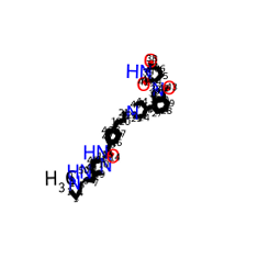 CN1CCC[C@@H]1c1cc2cnc(NC(=O)c3ccc(CCCN4CCC(c5cccc6c5CN(C5CCC(=O)NC5=O)C6=O)CC4)cc3)cc2[nH]1